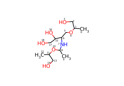 CC(CO)OCC(NC(C)OC(C)CO)C(O)CO